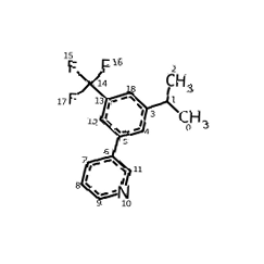 CC(C)c1cc(-c2cccnc2)cc(C(F)(F)F)c1